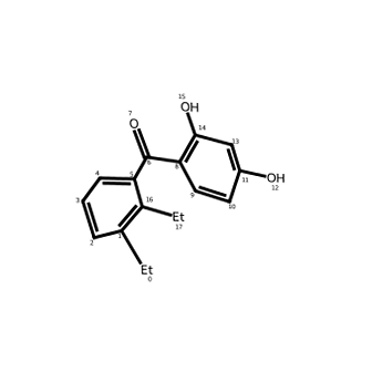 CCc1cccc(C(=O)c2ccc(O)cc2O)c1CC